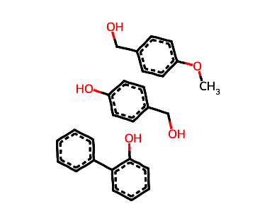 COc1ccc(CO)cc1.OCc1ccc(O)cc1.Oc1ccccc1-c1ccccc1